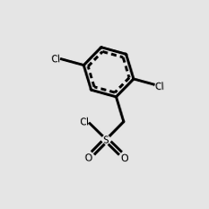 O=S(=O)(Cl)Cc1cc(Cl)ccc1Cl